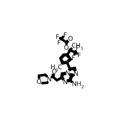 Cc1ccc(C(C)(OC(=O)C(F)(F)F)C(F)(F)F)cc1-c1cnc2c(N)nc(CC(=O)N3CCOCC3)cn12